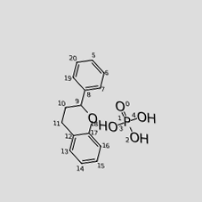 O=P(O)(O)O.c1ccc(C2CCc3ccccc3O2)cc1